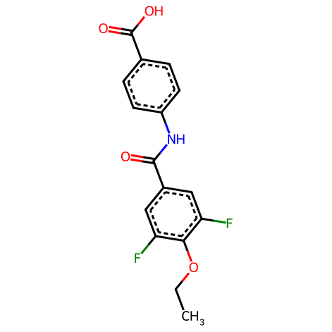 CCOc1c(F)cc(C(=O)Nc2ccc(C(=O)O)cc2)cc1F